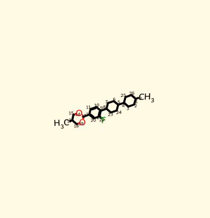 CC1CCC(C2CCC(c3ccc(C4OCC(C)CO4)cc3F)CC2)CC1